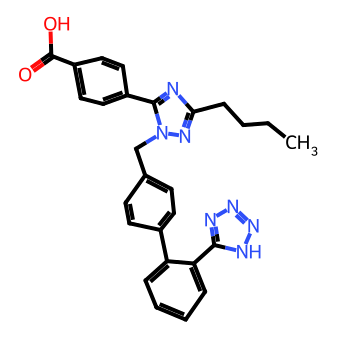 CCCCc1nc(-c2ccc(C(=O)O)cc2)n(Cc2ccc(-c3ccccc3-c3nnn[nH]3)cc2)n1